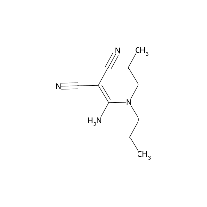 CCCN(CCC)C(N)=C(C#N)C#N